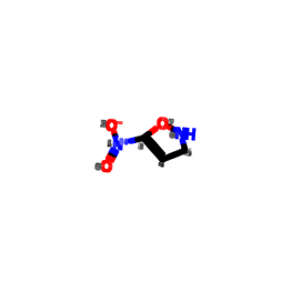 O=[N+]([O-])C1=C[CH]NO1